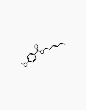 CCC=CCCOC(=O)c1ccc(OC)cc1